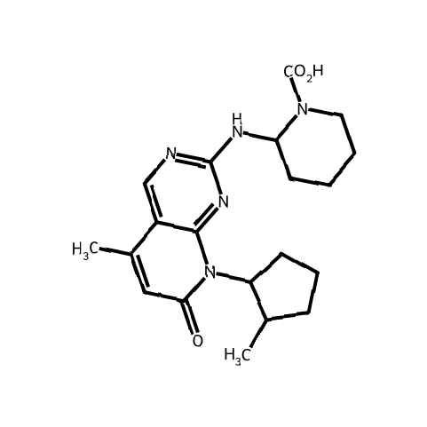 Cc1cc(=O)n(C2CCCC2C)c2nc(NC3CCCCN3C(=O)O)ncc12